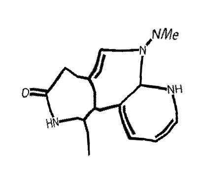 CNN1C=C2CC(=O)NC(C)C2C2=CC=CNC21